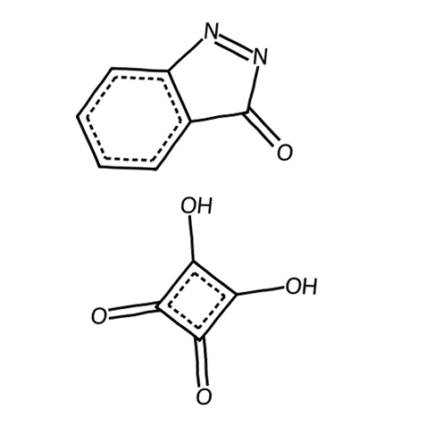 O=C1N=Nc2ccccc21.O=c1c(O)c(O)c1=O